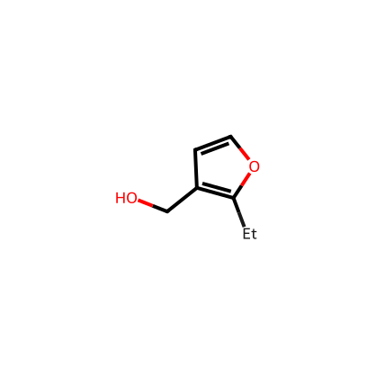 CCc1occc1CO